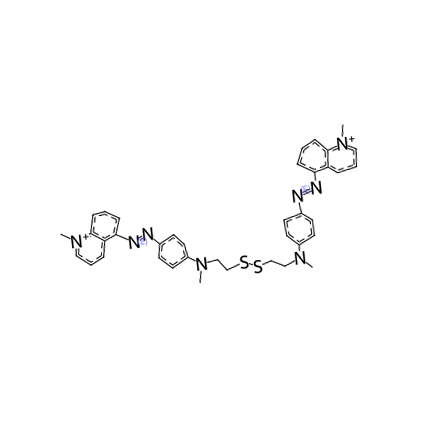 CN(CCSSCCN(C)c1ccc(/N=N/c2cccc3c2ccc[n+]3C)cc1)c1ccc(/N=N/c2cccc3c2ccc[n+]3C)cc1